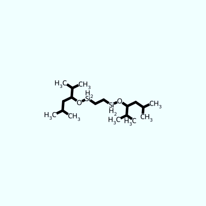 CC(C)CC(O[SiH2]CC[SiH2]OC(CC(C)C)C(C)C)C(C)C